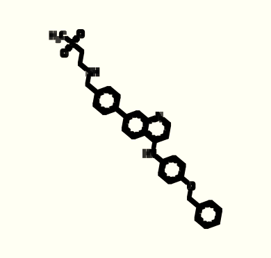 CS(=O)(=O)CCNCc1ccc(-c2ccc3c(Nc4ccc(OCc5ccccc5)cc4)ccnc3c2)cc1